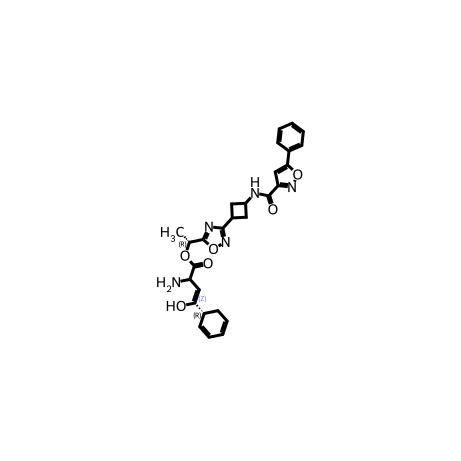 C[C@@H](OC(=O)C(N)/C=C(\O)[C@H]1C=CC=CC1)c1nc(C2CC(NC(=O)c3cc(-c4ccccc4)on3)C2)no1